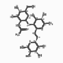 CC(=O)N[C@@H]1[C@H](O[C@@H]2[C@H](OC[C@H]3O[C@H](O)[C@H](O)[C@@H](O)[C@@H]3O)O[C@H](C)[C@@H](O)[C@@H]2O)O[C@H](CO)[C@@H](O)[C@@H]1O